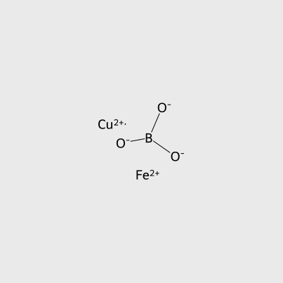 [Cu+2].[Fe+2].[O-]B([O-])[O-]